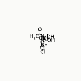 C[C@H]1[C@H](NS(=O)(=O)N2CCN(c3ccc(Cl)cc3F)CC2)[C@H]1c1ccccc1.O=C(O)O